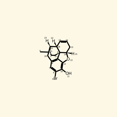 CN1CC[C@]23c4c5cc(Br)c(O)c4O[C@H]2CC=C[C@H]3[C@H]1C5